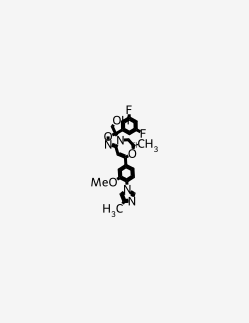 COc1cc(C2=CC3=NOC(CO)(c4cc(F)cc(F)c4)N3C[C@H](C)O2)ccc1-n1cnc(C)c1